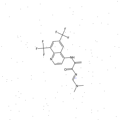 C=C(Nc1ccnc2c(C(F)(F)F)cc(C(F)(F)F)cc12)C(=O)/N=C/N(C)C